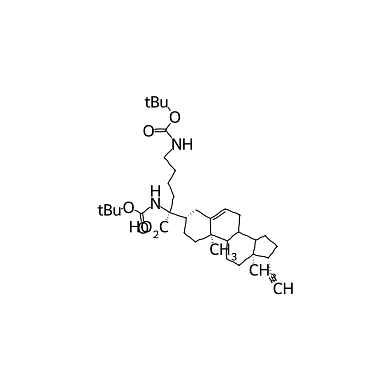 C#C[C@H]1CCC2C3CC=C4C[C@@H]([C@](CCCCNC(=O)OC(C)(C)C)(NC(=O)OC(C)(C)C)C(=O)O)CC[C@]4(C)C3CC[C@@]21C